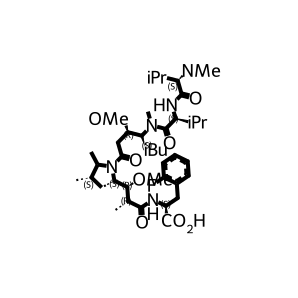 CC[C@H](C)C([C@@H](CC(=O)N1C(C)[C@@H](C)C[C@H]1[C@H](OC)[C@@H](C)C(=O)N[C@@H](Cc1ccccc1F)C(=O)O)OC)N(C)C(=O)[C@@H](NC(=O)[C@@H](NC)C(C)C)C(C)C